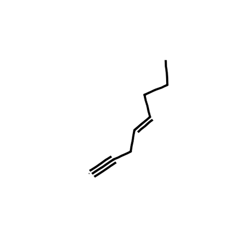 [C]#CCC=CCCC